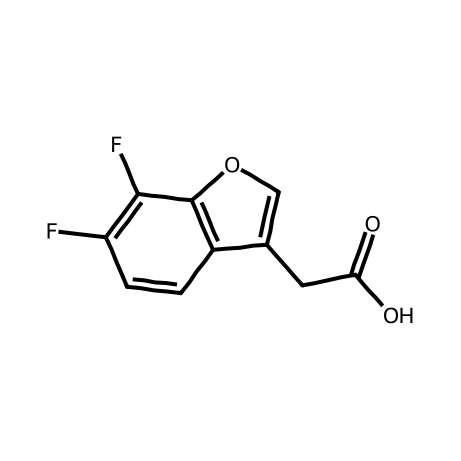 O=C(O)Cc1coc2c(F)c(F)ccc12